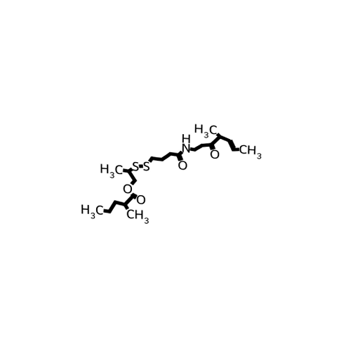 CC=CC(C)C(=O)CCNC(=O)CCCSSC(C)COC(=O)C(C)CCC